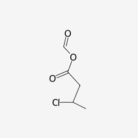 CC(Cl)CC(=O)OC=O